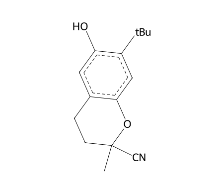 CC1(C#N)CCc2cc(O)c(C(C)(C)C)cc2O1